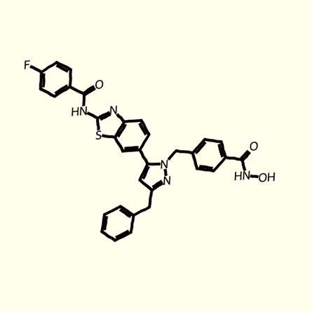 O=C(NO)c1ccc(Cn2nc(Cc3ccccc3)cc2-c2ccc3nc(NC(=O)c4ccc(F)cc4)sc3c2)cc1